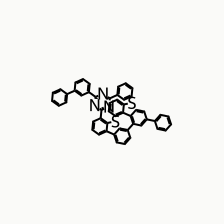 c1ccc(-c2cccc(-c3nc(-c4ccccc4)nc(-c4cccc5c4sc4c(-c6cc(-c7ccccc7)cc7sc8ccccc8c67)cccc45)n3)c2)cc1